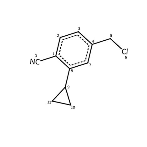 N#Cc1ccc(CCl)cc1C1CC1